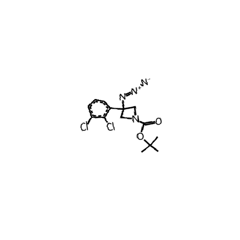 CC(C)(C)OC(=O)N1CC(N=[N+]=[N-])(c2cccc(Cl)c2Cl)C1